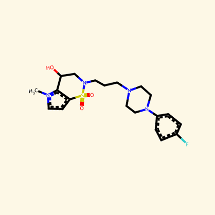 Cn1ccc2c1C(O)CN(CCCN1CCN(c3ccc(F)cc3)CC1)S2(=O)=O